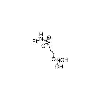 CCNS(=O)(=O)CCCON(O)O